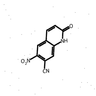 N#Cc1cc2[nH]c(=O)ccc2cc1[N+](=O)[O-]